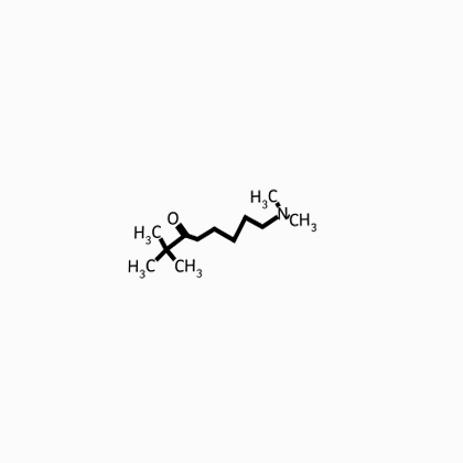 CN(C)CCCCCC(=O)C(C)(C)C